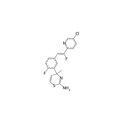 CC1(c2cc(C=C(F)c3ccc(Cl)cn3)ccc2F)C=CSC(N)=N1